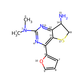 CN(C)c1nc(-c2ccco2)c2c(n1)C(N)CS2